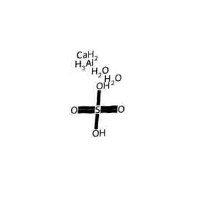 O.O.O=S(=O)(O)O.[AlH3].[CaH2]